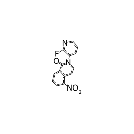 O=c1c2cccc([N+](=O)[O-])c2ccn1-c1cccnc1F